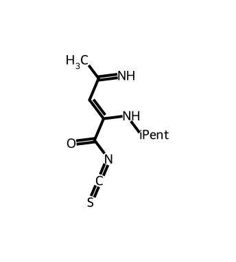 CCCC(C)N/C(=C\C(C)=N)C(=O)N=C=S